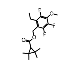 CCc1c(F)c(OC)c(F)c(F)c1COC(=O)C1C(C)(C)C1(C)C